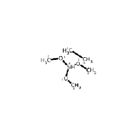 CC.CO[SiH](OC)OC